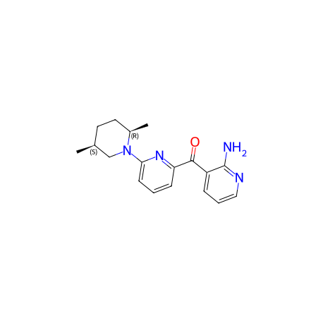 C[C@H]1CC[C@@H](C)N(c2cccc(C(=O)c3cccnc3N)n2)C1